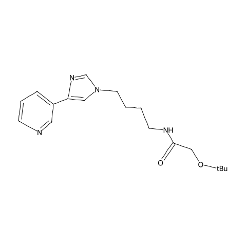 CC(C)(C)OCC(=O)NCCCCn1cnc(-c2cccnc2)c1